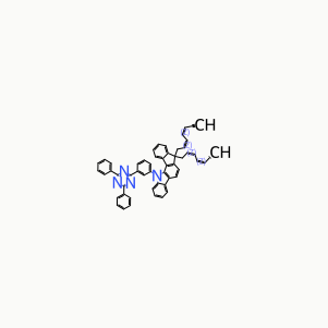 C#C/C=C\C=C/CC1(C/C=C\C=C/C#C)c2ccccc2-c2c1ccc1c3ccccc3n(-c3cccc(-c4nc(-c5ccccc5)nc(-c5ccccc5)n4)c3)c21